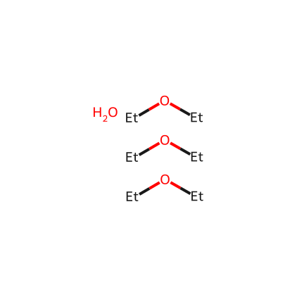 CCOCC.CCOCC.CCOCC.O